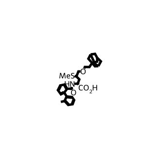 CSC(COCCC12CC3CC(CC(C3)C1)C2)CC(NC(=O)c1ccccc1-c1ccccc1C)C(=O)O